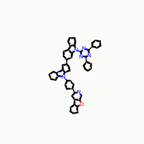 c1ccc(-c2nc(-c3ccccc3)nc(-n3c4ccccc4c4ccc(-c5ccc6c(c5)c5ccccc5n6-c5ccc(-c6cc7c(cn6)oc6ccccc67)cc5)cc43)n2)cc1